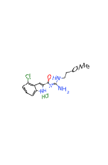 COCCNC(N)=NC(=O)c1cc2c(Cl)cccc2[nH]1.Cl